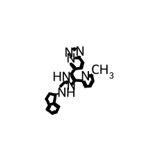 Cc1cccc(-c2nc(CN[C@@H]3CCc4ccccc43)[nH]c2-c2ccc3ncnn3c2)n1